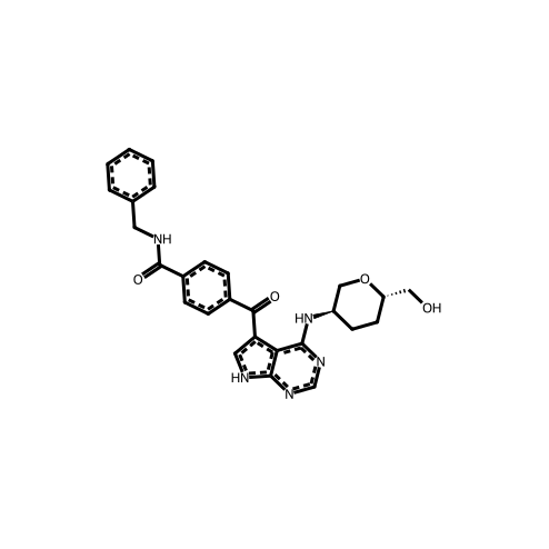 O=C(NCc1ccccc1)c1ccc(C(=O)c2c[nH]c3ncnc(N[C@@H]4CC[C@@H](CO)OC4)c23)cc1